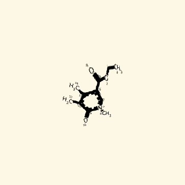 CCOC(=O)c1cn(C)c(=O)c(C)c1C